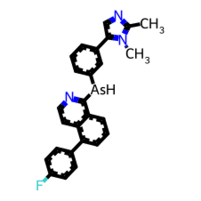 Cc1ncc(-c2cccc([AsH]c3nccc4c(-c5ccc(F)cc5)cccc34)c2)n1C